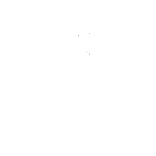 O=Cc1ccc(-c2ccc3c(c2)[nH]c2ccccc23)cc1